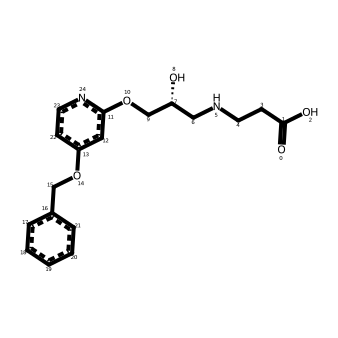 O=C(O)CCNC[C@@H](O)COc1cc(OCc2ccccc2)ccn1